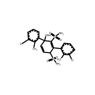 COC1(c2cccc(Cl)c2C)C=CC(S(N)(=O)=O)C(c2cccc(Cl)c2C)=C1S(N)(=O)=O